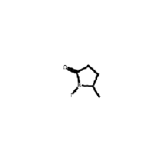 CC1CCC(=O)N1I